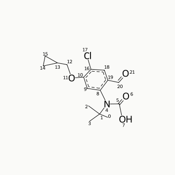 CC(C)(C)N(C(=O)O)c1cc(OCC2CC2)c(Cl)cc1C=O